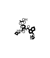 CC(Oc1ccc(NC(=O)c2ccc(Cn3ccnn3)c3ccccc23)c(C(=O)NCC2CCC2)n1)C(=O)O